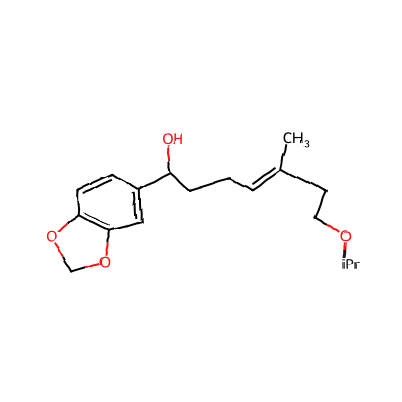 C/C(=C\CCC(O)c1ccc2c(c1)OCO2)CCOC(C)C